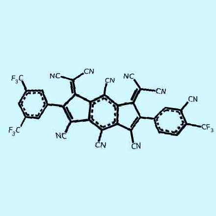 N#CC(C#N)=C1C(c2cc(C(F)(F)F)cc(C(F)(F)F)c2)=C(C#N)c2c(C#N)c3c(c(C#N)c21)C(=C(C#N)C#N)C(c1ccc(C(F)(F)F)c(C#N)c1)=C3C#N